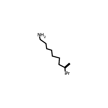 C=C(CCCCCCCN)C(C)C